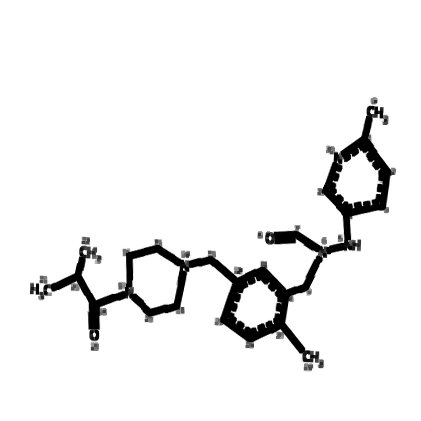 Cc1ccc(NN(C=O)Cc2cc(CN3CCN(C(=O)C(C)C)CC3)ccc2C)cn1